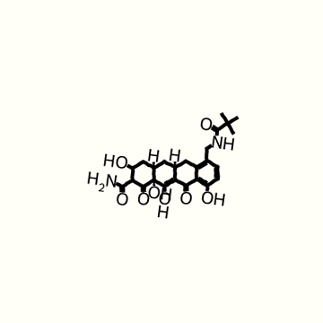 CC(C)(C)C(=O)NCc1ccc(O)c2c1C[C@H]1C[C@H]3CC(O)C(C(N)=O)C(=O)[C@@]3(O)C(O)=C1C2=O